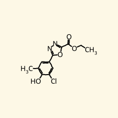 CCOC(=O)c1nnc(-c2cc(C)c(O)c(Cl)c2)o1